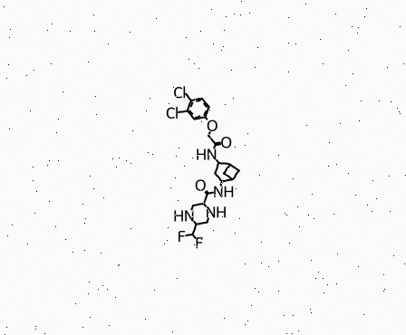 O=C(COc1ccc(Cl)c(Cl)c1)NC1CC(NC(=O)C2CNC(C(F)F)CN2)C2CC1C2